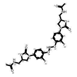 CC(=O)NCC1CN(c2ccc(OBOc3ccc(N4CC(CNC(C)=O)OC4=O)cc3F)c(F)c2)C(=O)O1